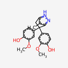 COc1cc(C2(c3ccc(O)c(OC)c3)Cc3[nH]nc2c3C)ccc1O